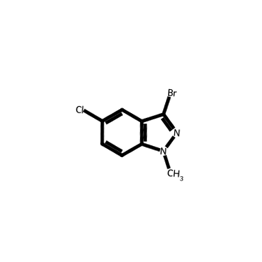 Cn1nc(Br)c2cc(Cl)ccc21